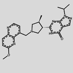 COc1ccc2nccc(CN3C[C@@H](C)[C@H](c4nc5c(cnn5C(C)C)c(=O)[nH]4)C3)c2n1